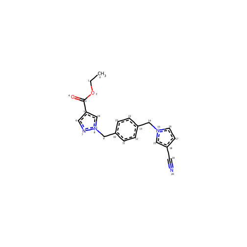 CCOC(=O)c1cnn(Cc2ccc(Cn3ccc(C#N)c3)cc2)c1